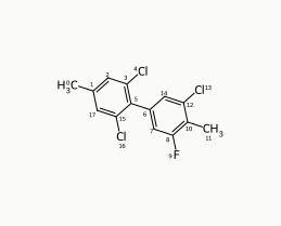 Cc1cc(Cl)c(-c2cc(F)c(C)c(Cl)c2)c(Cl)c1